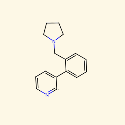 [c]1ncccc1-c1ccccc1CN1CCCC1